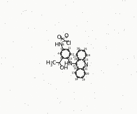 CC(O)c1cc(NS(=O)(=O)Cl)ccc1Nc1c2ccccc2nc2ccccc12